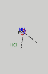 CCCCCCCCCCCCCCCCCCN(CCCCCCCCCCCCCCCCCC)C(=O)c1cc(N)c2ccccc2c1O.Cl